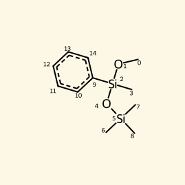 CO[Si](C)(O[Si](C)(C)C)c1ccccc1